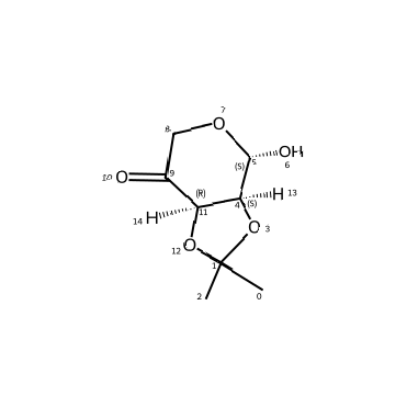 CC1(C)O[C@@H]2[C@@H](O)OCC(=O)[C@@H]2O1